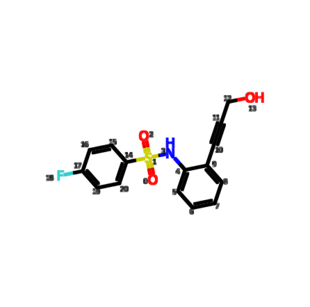 O=S(=O)(Nc1ccccc1C#CCO)c1ccc(F)cc1